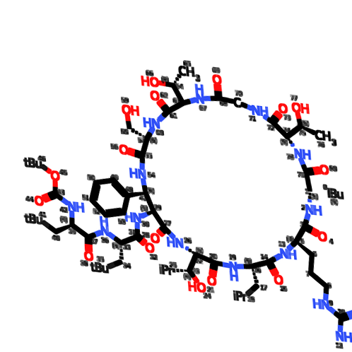 CC[C@H](C)[C@@H]1NC(=O)[C@@H](CCCNC(=N)N)NC(=O)[C@H](CC(C)C)NC(=O)[C@H]([C@H](O)C(C)C)NC(=O)[C@@H](NC(=O)[C@H](CC(C)(C)C)NC(=O)[C@@H](CC(C)(C)C)NC(=O)OC(C)(C)C)[C@@H](c2ccccc2)NC(=O)[C@H](CO)NC(=O)C([C@@H](C)O)NC(=O)CNC(=O)[C@H]([C@H](C)O)NC1=O